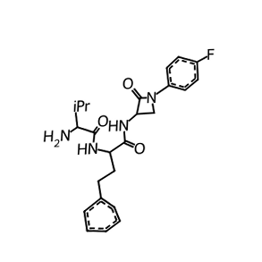 CC(C)C(N)C(=O)NC(CCc1ccccc1)C(=O)NC1CN(c2ccc(F)cc2)C1=O